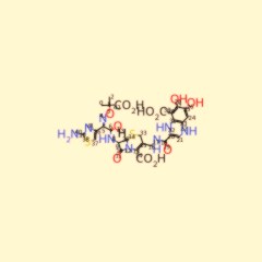 CC(C)(O/N=C(\C(=O)NC1C(=O)N2C(C(=O)O)=C(CNC(=O)C3=CNc4cc(O)c(O)c(C(=O)O)c4N3)CS[C@@H]12)c1csc(N)n1)C(=O)O